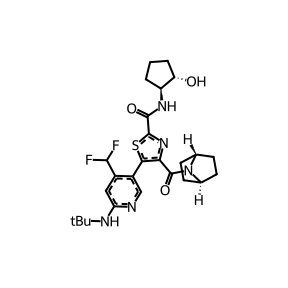 CC(C)(C)Nc1cc(C(F)F)c(-c2sc(C(=O)N[C@H]3CCC[C@@H]3O)nc2C(=O)N2[C@H]3CC[C@H]2CC3)cn1